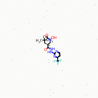 CC(C)(C)C[C@@H](CN(O)C=O)C(=O)NNc1nccc(C(F)(F)F)n1